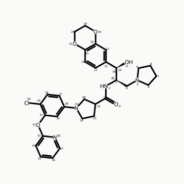 O=C(N[C@H](CN1CCCC1)[C@H](O)c1ccc2c(c1)OCCO2)C1CCN(c2ccc(Cl)c(Oc3ccccn3)c2)C1